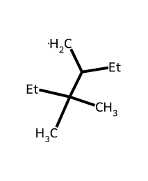 [CH2]C(CC)C(C)(C)CC